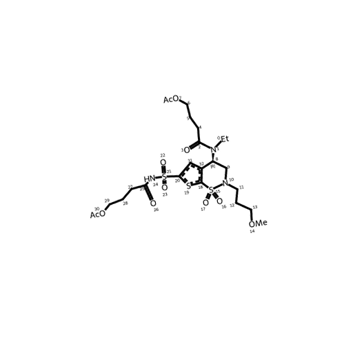 CCN(C(=O)CCCOC(C)=O)[C@H]1CN(CCCOC)S(=O)(=O)c2sc(S(=O)(=O)NC(=O)CCCOC(C)=O)cc21